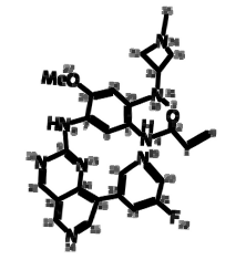 C=CC(=O)Nc1cc(Nc2ncc3cncc(-c4cncc(F)c4)c3n2)c(OC)cc1N(C)C1CN(C)C1